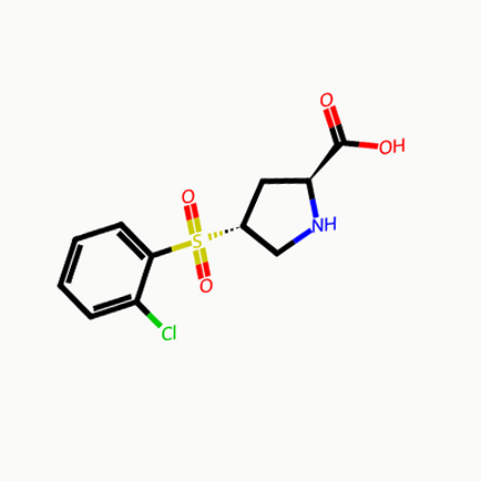 O=C(O)[C@@H]1C[C@@H](S(=O)(=O)c2ccccc2Cl)CN1